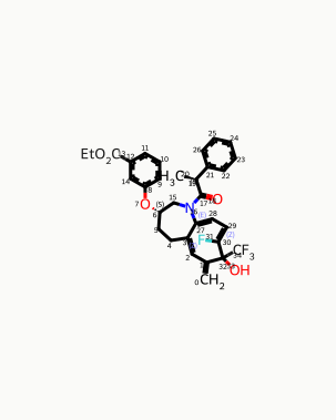 C=C1/C=C2/CC[C@H](Oc3cccc(C(=O)OCC)c3)CN(C(=O)[C@@H](C)c3ccccc3)/C2=C/C=C(\F)C1(O)C(F)(F)F